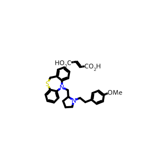 COc1ccc(CCN2CCCC2CN2c3ccccc3CSc3ccccc32)cc1.O=C(O)C=CC(=O)O